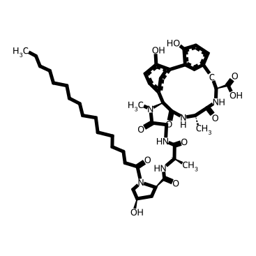 CCCCCCCCCCCCCCCC(=O)N1C[C@H](O)C[C@@H]1C(=O)N[C@H](C)C(=O)NCC(=O)N(C)[C@@H]1C(=O)N[C@@H](C)C(=O)N[C@H](C(=O)O)Cc2ccc(O)c(c2)-c2cc1ccc2O